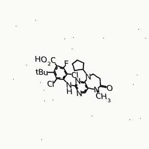 CN1C(=O)CCN(C2CCCC2)c2nc(Nc3c(Cl)c(F)c(C(=O)O)c(C(C)(C)C)c3Cl)ncc21